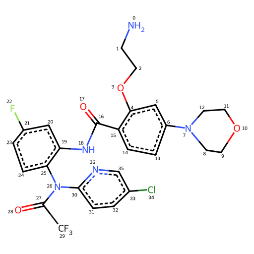 NCCOc1cc(N2CCOCC2)ccc1C(=O)Nc1cc(F)ccc1N(C(=O)C(F)(F)F)c1ccc(Cl)cn1